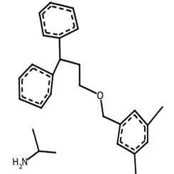 CC(C)N.Cc1cc(C)cc(COCCC(c2ccccc2)c2ccccc2)c1